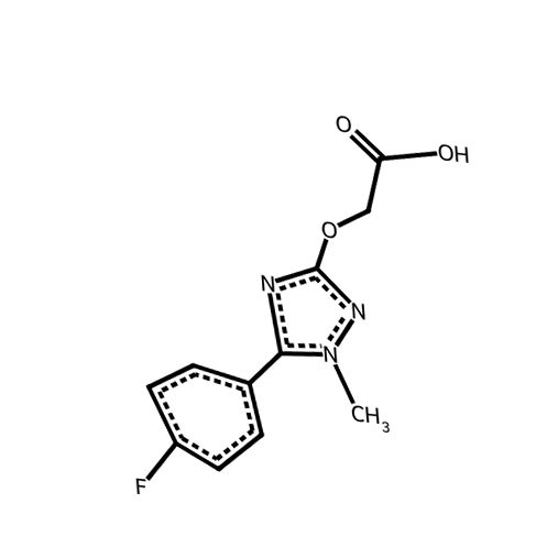 Cn1nc(OCC(=O)O)nc1-c1ccc(F)cc1